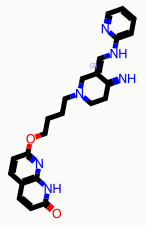 N=C1CCN(CCCCOc2ccc3ccc(=O)[nH]c3n2)C/C1=C/Nc1ccccn1